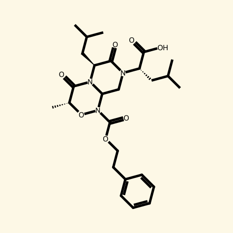 CC(C)C[C@@H](C(=O)O)N1CC2N(C(=O)OCCc3ccccc3)O[C@H](C)C(=O)N2[C@@H](CC(C)C)C1=O